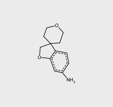 Nc1ccc2c(c1)OCC21CCOCC1